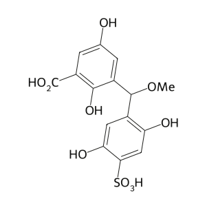 COC(c1cc(O)c(S(=O)(=O)O)cc1O)c1cc(O)cc(C(=O)O)c1O